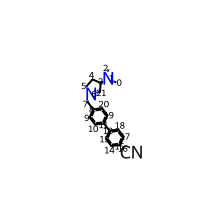 CN(C)C1CCN(Cc2ccc(-c3ccc(C#N)cc3)cc2)C1